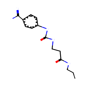 CCOC(=O)CCNC(=O)CCNC(=O)Nc1ccc(C(=N)N)cc1